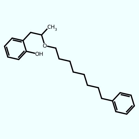 CC(Cc1ccccc1O)OCCCCCCCCc1ccccc1